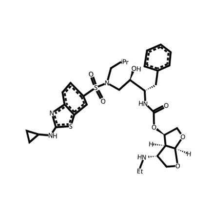 CCN[C@H]1CO[C@@H]2OC[C@H](OC(=O)N[C@@H](Cc3ccccc3)[C@H](O)CN(CC(C)C)S(=O)(=O)c3ccc4nc(NC5CC5)sc4c3)[C@@H]21